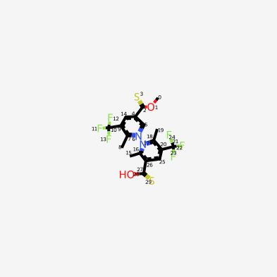 COC(=S)c1cnc(C)c(C(F)(F)F)c1.Cc1nc(C)c(C(F)(F)F)cc1C(O)=S